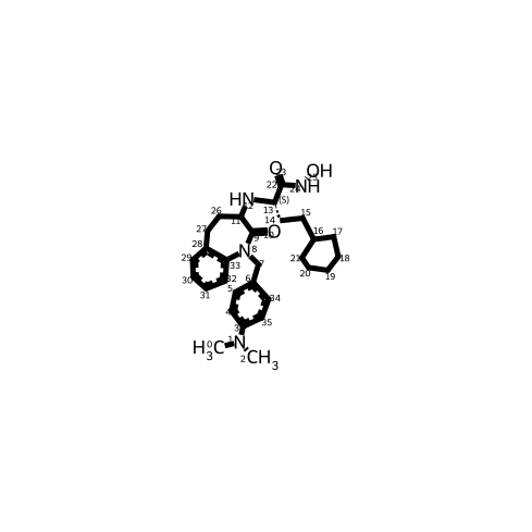 CN(C)c1ccc(CN2C(=O)C(N[C@@H](CCC3CCCCC3)C(=O)NO)CCc3ccccc32)cc1